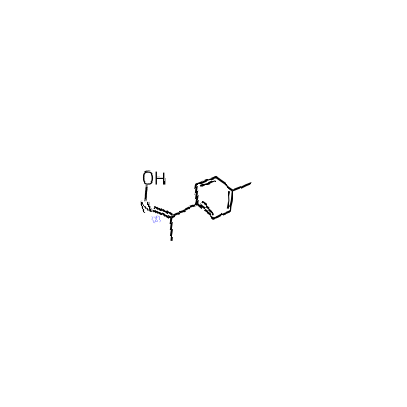 C/C(=N/O)c1ccc(C)cc1